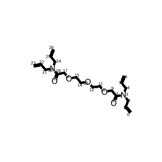 C=CCN(CC=C)C(=O)COCCOCCOCC(=O)N(CC=C)CC=C